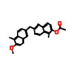 COc1ccc2cc(Cc3ccc4c(C)c(OC(C)=O)ccc4c3)ccc2c1C